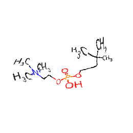 CC(C)(C)CCOP(=O)(O)OCC[N+](C)(C)C